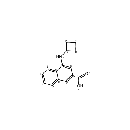 O=CO.c1cnc2c(NC3CCC3)cccc2c1